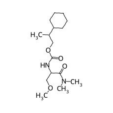 COCC(NC(=O)OCC(C)C1CCCCC1)C(=O)N(C)C